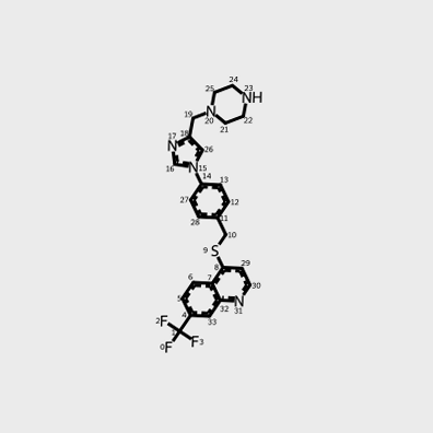 FC(F)(F)c1ccc2c(SCc3ccc(-n4cnc(CN5CCNCC5)c4)cc3)ccnc2c1